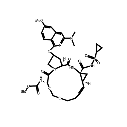 COc1ccc2c(OC3C[C@H]4C(=O)N[C@]5(C(=O)NS(=O)(=O)C6CC6)C[C@H]5/C=C\CCCCC[C@H](NC(=O)OC(C)(C)C)C(=O)N4C3)nc(N(C)C)cc2c1